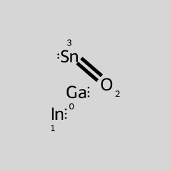 [Ga].[In].[O]=[Sn]